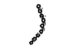 c1ccc(-[n+]2ccc(-c3cc[n+](-c4ccc(Oc5cccc(Oc6ccc(-[n+]7ccc(-c8cc[n+](-c9ccccc9)cc8)cc7)cc6)c5)cc4)cc3)cc2)cc1